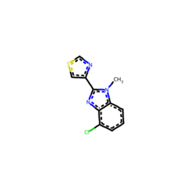 Cn1c(-c2cscn2)nc2c(Cl)cccc21